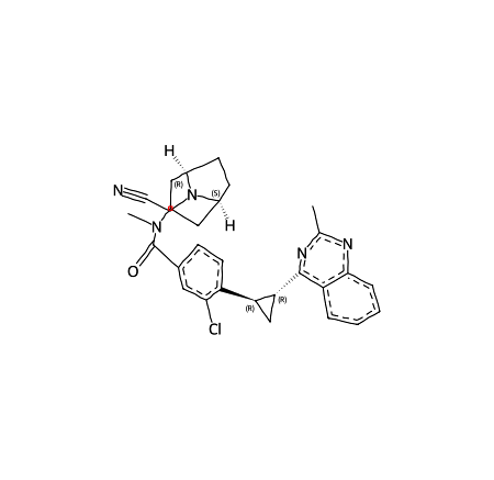 Cc1nc([C@@H]2C[C@H]2c2ccc(C(=O)N(C)C3C[C@H]4CC[C@@H](C3)N4CC#N)cc2Cl)c2ccccc2n1